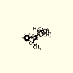 COC(=O)c1cc(B2OC(C)(C)C(C)(C)O2)nn1-c1ccccc1